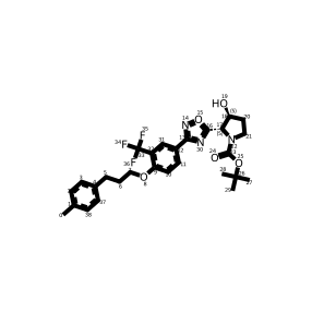 Cc1ccc(CCCOc2ccc(-c3noc([C@@H]4[C@@H](O)CCN4C(=O)OC(C)(C)C)n3)cc2C(F)(F)F)cc1